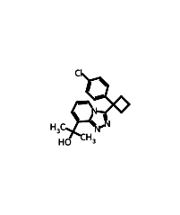 CC(C)(O)c1cccn2c(C3(c4ccc(Cl)cc4)CCC3)nnc12